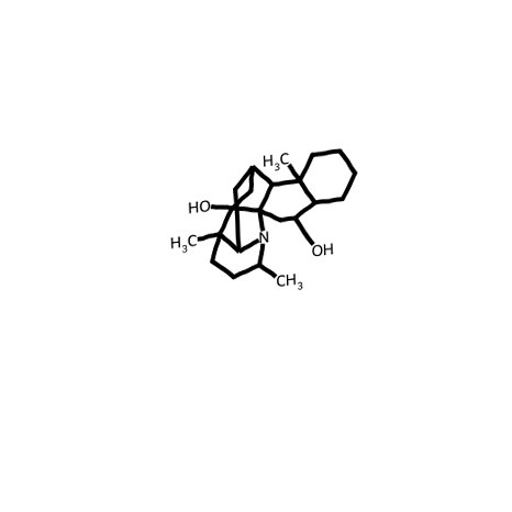 CC1CCC2(C)C3CC4CC2(O)C2(CC(O)C5CCCCC5(C)C42)N13